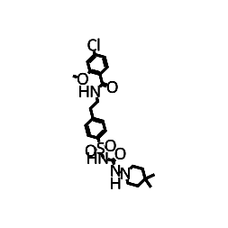 COc1cc(Cl)ccc1C(=O)NCCc1ccc(S(=O)(=O)NC(=O)NN2CCC(C)(C)CC2)cc1